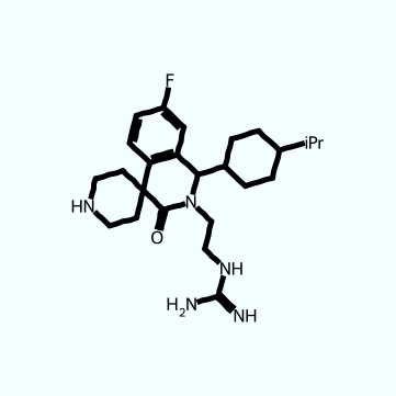 CC(C)C1CCC(C2c3cc(F)ccc3C3(CCNCC3)C(=O)N2CCNC(=N)N)CC1